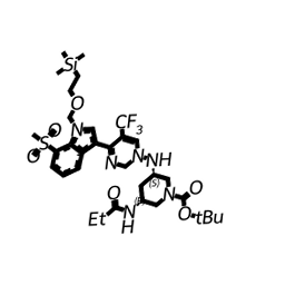 CCC(=O)N[C@@H]1C[C@H](NN2C=C(C(F)(F)F)C(c3cn(COCC[Si](C)(C)C)c4c(S(C)(=O)=O)cccc34)=NC2)CN(C(=O)OC(C)(C)C)C1